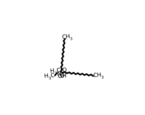 CCCCCCCCCCCCCCCC(=O)C(C)(C(=O)CCCCCCCCCCCCCCC)N(O)CCC